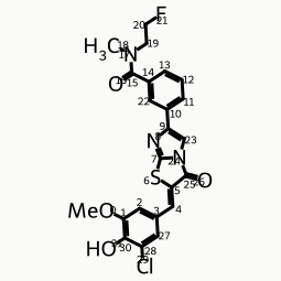 COc1cc(/C=c2\sc3nc(-c4cccc(C(=O)N(C)CCF)c4)cn3c2=O)cc(Cl)c1O